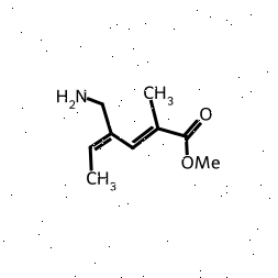 C/C=C(\C=C(/C)C(=O)OC)CN